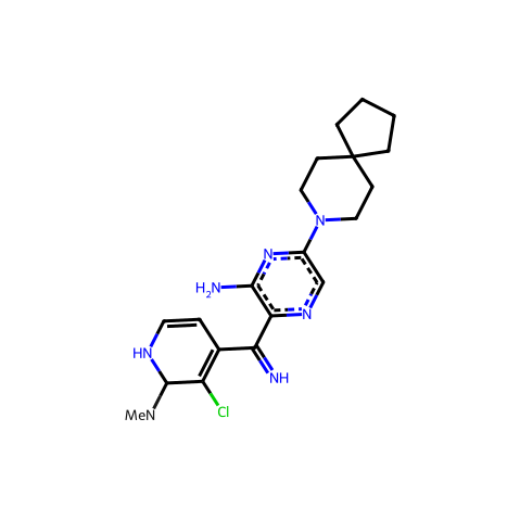 CNC1NC=CC(C(=N)c2ncc(N3CCC4(CCCC4)CC3)nc2N)=C1Cl